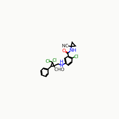 N#CC1(NC(=O)c2cc(NCC3(C=O)C(c4ccccc4)C3(Cl)Cl)ccc2Cl)CC1